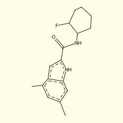 Cc1cc(C)c2cc(C(=O)NC3CCCCC3F)[nH]c2c1